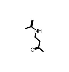 C=C(C)NCCC(C)=O